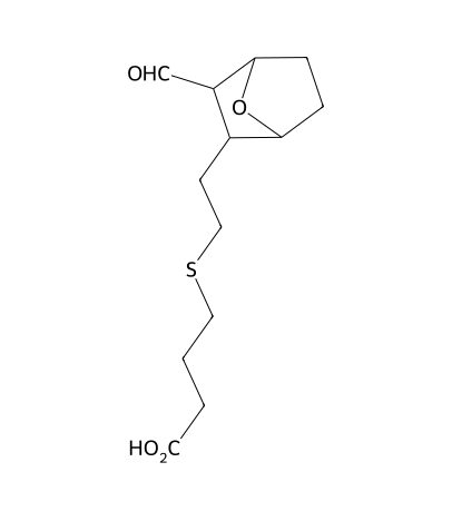 O=CC1C2CCC(O2)C1CCSCCCC(=O)O